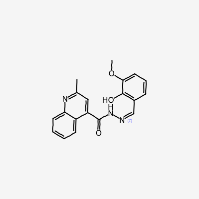 COc1cccc(/C=N\NC(=O)c2cc(C)nc3ccccc23)c1O